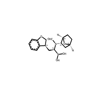 O=CN([C@H](C[C@@H]1COc2ccccc21)B(O)O)[C@H]1C[C@@H]2CC[C@H]1O2